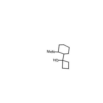 CNC1CCCCC1C1(O)CCC1